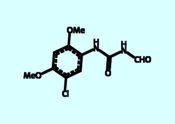 COc1cc(OC)c(NC(=O)NC=O)cc1Cl